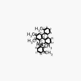 Cc1ccccc1-c1cc(C)c(C)[c]([Mg][c]2cccc(C)c2C)c1-c1ccccc1C